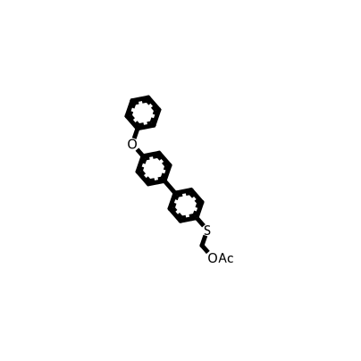 CC(=O)OCSc1ccc(-c2ccc(Oc3ccccc3)cc2)cc1